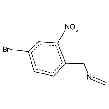 C=NCc1ccc(Br)cc1[N+](=O)[O-]